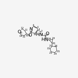 O=C(NCc1ccnc(OC2CCOCC2)c1)NC1CC1C1CCCCC1